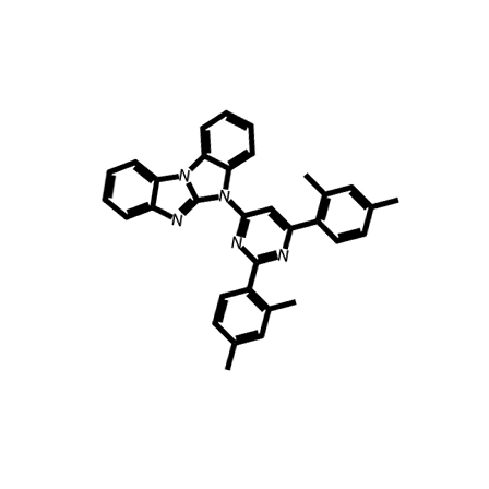 Cc1ccc(-c2cc(-n3c4ccccc4n4c5ccccc5nc34)nc(-c3ccc(C)cc3C)n2)c(C)c1